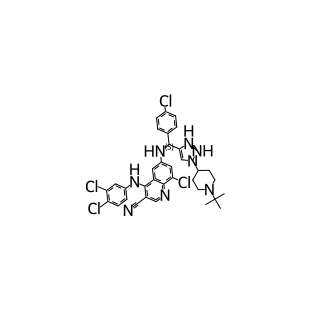 CC(C)(C)N1CCC(N2C=C([C@@H](Nc3cc(Cl)c4ncc(C#N)c(Nc5ccc(Cl)c(Cl)c5)c4c3)c3ccc(Cl)cc3)NN2)CC1